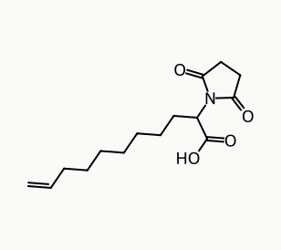 C=CCCCCCCCC(C(=O)O)N1C(=O)CCC1=O